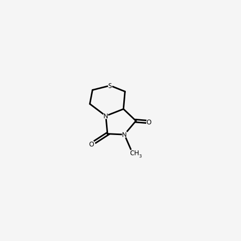 CN1C(=O)C2CSCCN2C1=O